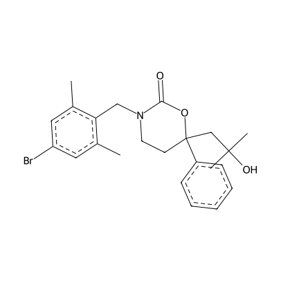 Cc1cc(Br)cc(C)c1CN1CCC(CC(C)(C)O)(c2ccccc2)OC1=O